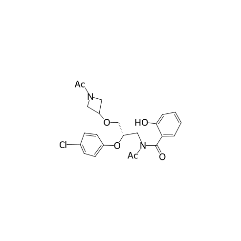 CC(=O)N1CC(OC[C@H](CN(C(C)=O)C(=O)c2ccccc2O)Oc2ccc(Cl)cc2)C1